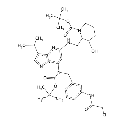 CC(C)c1cnn2c(N(Cc3cccc(NC(=O)CCl)c3)C(=O)OC(C)(C)C)cc(NCC3C(O)CCCN3C(=O)OC(C)(C)C)nc12